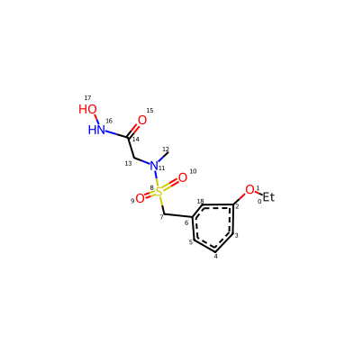 CCOc1cccc(CS(=O)(=O)N(C)CC(=O)NO)c1